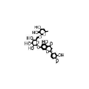 COc1ccc([C@@H]2CC(=O)c3c(O)cc(O[C@@H]4OC(CO[C@@H]5OC(C)C[C@H](O)C5O)[C@@H](O)C(O)C4O)cc3O2)cc1O